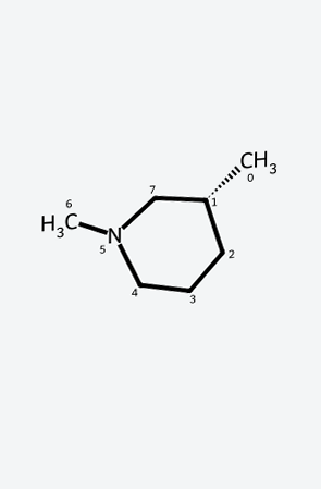 C[C@@H]1CCCN(C)C1